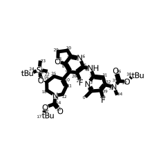 Cc1nc(Nc2nc3c(c(C4=CCN(C(=O)OC(C)(C)C)C[C@H](O[Si](C)(C)C(C)(C)C)C4)c2F)OCC3)cc(N(C)C(=O)OC(C)(C)C)c1F